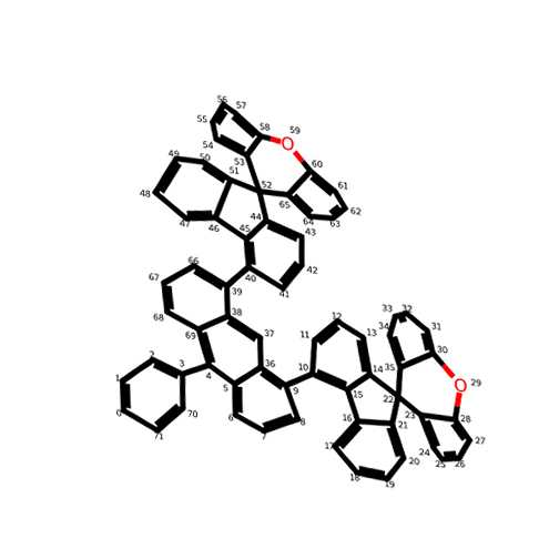 c1ccc(-c2c3cccc(-c4cccc5c4-c4ccccc4C54c5ccccc5Oc5ccccc54)c3cc3c(-c4cccc5c4-c4ccccc4C54c5ccccc5Oc5ccccc54)cccc23)cc1